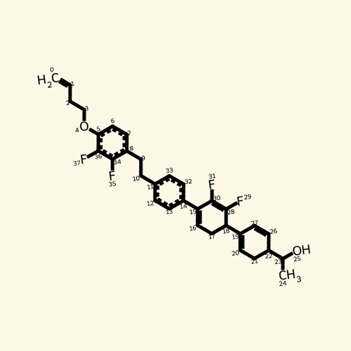 C=CCCOc1ccc(CCc2ccc(C3=CCC(C4=CCC(C(C)O)C=C4)C(F)=C3F)cc2)c(F)c1F